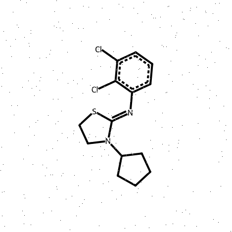 Clc1cccc(/N=C2\SCCN2C2CCCC2)c1Cl